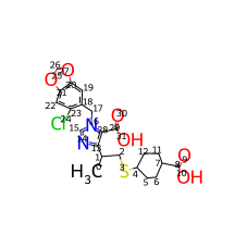 CC(CSC1CCC(C(=O)O)CC1)c1ncn(Cc2cc3c(cc2Cl)OCO3)c1C(=O)O